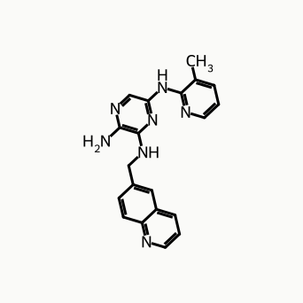 Cc1cccnc1Nc1cnc(N)c(NCc2ccc3ncccc3c2)n1